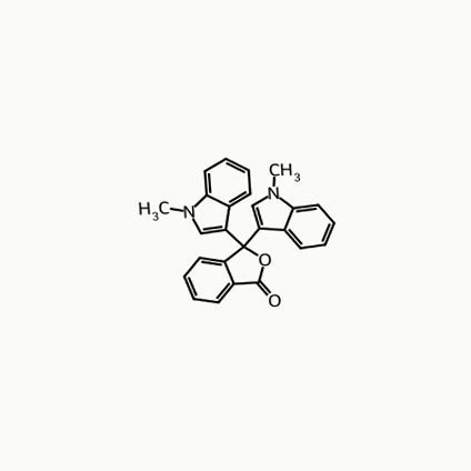 Cn1cc(C2(c3cn(C)c4ccccc34)OC(=O)c3ccccc32)c2ccccc21